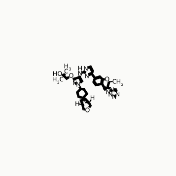 C[C@@H](Cn1cnnn1)Oc1cc(-c2ccnc(Nc3cn(C4CCC(N5[C@@H]6CC[C@H]5COC6)CC4)nc3OCC(C)(C)O)n2)ccc1C#N